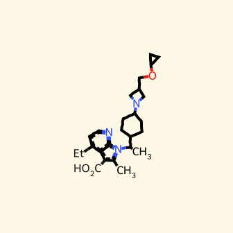 CCc1ccnc2c1c(C(=O)O)c(C)n2C(C)C1CCC(N2CC(COC3CC3)C2)CC1